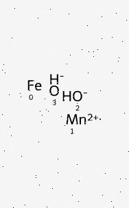 [Fe].[Mn+2].[OH-].[OH-]